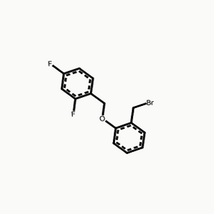 Fc1ccc(COc2ccccc2CBr)c(F)c1